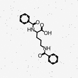 O=C(NCCCC(NC(=O)c1ccccc1)C(=O)O)c1ccccc1